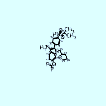 CC(C)S(=O)(=O)Nc1ccc(-c2c(N)c3ccc(OC(F)F)cc3n2CC2CCCO2)cc1